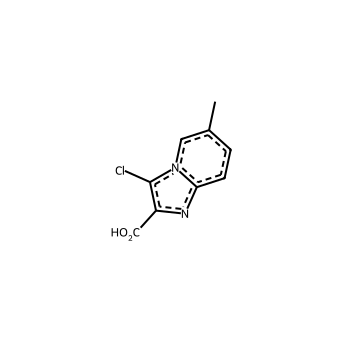 Cc1ccc2nc(C(=O)O)c(Cl)n2c1